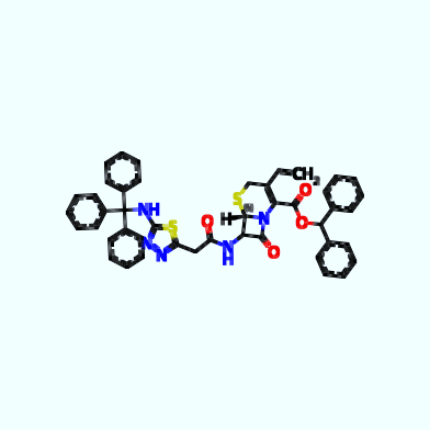 C=CC1=C(C(=O)OC(c2ccccc2)c2ccccc2)N2C(=O)C(NC(=O)Cc3nnc(NC(c4ccccc4)(c4ccccc4)c4ccccc4)s3)[C@@H]2SC1